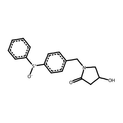 O=C1CC(O)CN1Cc1ccc([S+]([O-])c2ccccc2)cc1